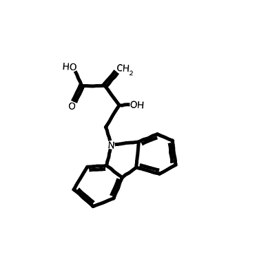 C=C(C(=O)O)C(O)Cn1c2ccccc2c2ccccc21